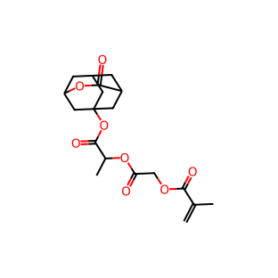 C=C(C)C(=O)OCC(=O)OC(C)C(=O)OC12CC3CC(C1)OC(=O)C(C3)C2